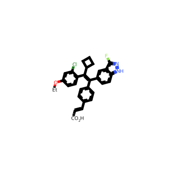 CCOc1ccc(C(=C(c2ccc(C=CC(=O)O)cc2)c2ccc3[nH]nc(F)c3c2)C2CCC2)c(Cl)c1